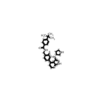 CC(C)(C)c1ccc(C(=O)NCc2ccc(-c3ccnc4[nH]nc(N[C@@H]5CCNC5)c34)cc2F)cc1